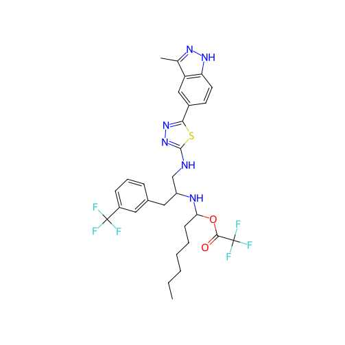 CCCCCCC(NC(CNc1nnc(-c2ccc3[nH]nc(C)c3c2)s1)Cc1cccc(C(F)(F)F)c1)OC(=O)C(F)(F)F